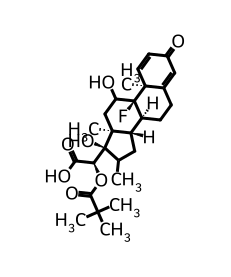 CC1C[C@H]2[C@@H]3CCC4=CC(=O)C=C[C@]4(C)[C@@]3(F)C(O)C[C@]2(C)[C@@]1(O)[C@@H](OC(=O)C(C)(C)C)C(=O)O